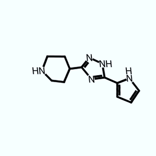 c1c[nH]c(-c2nc(C3CCNCC3)n[nH]2)c1